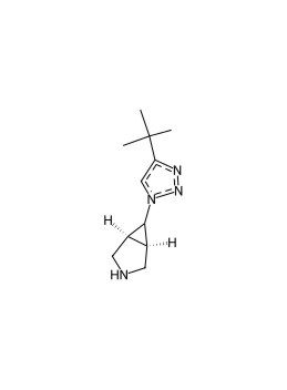 CC(C)(C)c1cn(C2[C@H]3CNC[C@@H]23)nn1